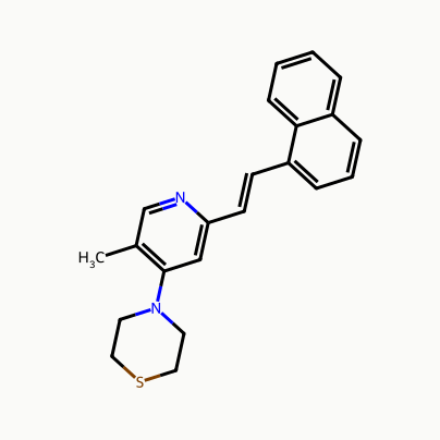 Cc1cnc(C=Cc2cccc3ccccc23)cc1N1CCSCC1